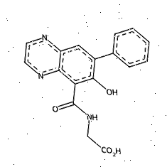 O=C(O)CNC(=O)c1c(O)c(-c2ccccc2)cc2nccnc12